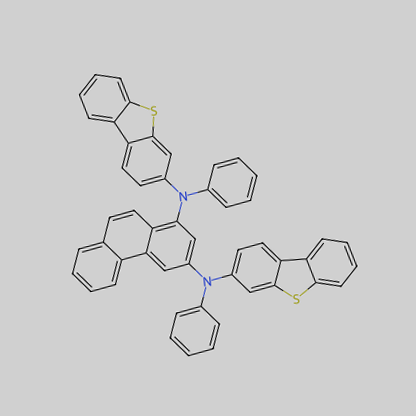 c1ccc(N(c2ccc3c(c2)sc2ccccc23)c2cc(N(c3ccccc3)c3ccc4c(c3)sc3ccccc34)c3ccc4ccccc4c3c2)cc1